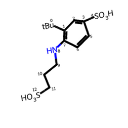 CC(C)(C)c1cc(S(=O)(=O)O)ccc1NCCCS(=O)(=O)O